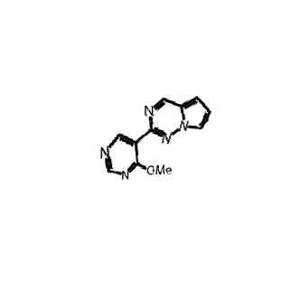 COc1ncncc1-c1ncc2cccn2n1